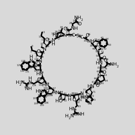 CCCC[C@H]1C(=O)N(C)[C@@H](CCCC)C(=O)N[C@H]2CC(C)N(C2=O)[C@H](C(=O)NCC(N)=O)CSCC(=O)N[C@@H](Cc2ccccc2)C(=O)N(C)[C@@H](C)C(=O)N[C@@H](CC(N)=O)C(=O)N2CCC[C@H]2C(=O)N[C@@H](Cc2cnc[nH]2)C(=O)N[C@@H](CCCNC(=N)N)C(=O)N[C@@H](CO)C(=O)N[C@@H](Cc2c[nH]c3ccccc23)C(=O)N[C@@H](CCCNC(=N)N)C(=O)N[C@@H](Cc2c[nH]c3ccccc23)C(=O)N1C